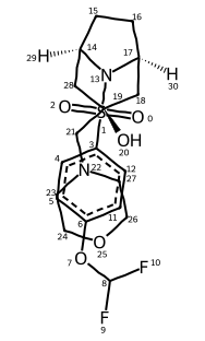 O=S(=O)(c1ccc(OC(F)F)cc1)N1[C@@H]2CC[C@H]1C[C@](O)(CN1CCOCC1)C2